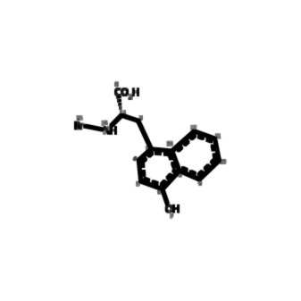 O=C(O)[C@H](Cc1ccc(O)c2ccccc12)NBr